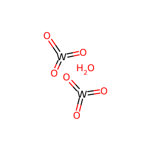 O.[O]=[W](=[O])=[O].[O]=[W](=[O])=[O]